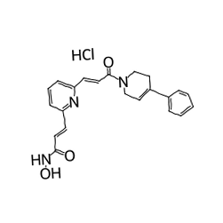 Cl.O=C(/C=C/c1cccc(/C=C/C(=O)N2CC=C(c3ccccc3)CC2)n1)NO